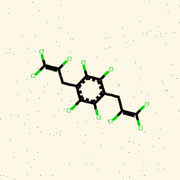 ClC(Cl)=C(Cl)Cc1c(Cl)c(Cl)c(CC(Cl)=C(Cl)Cl)c(Cl)c1Cl